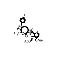 CCCO[C@H]1[C@H](C)OC(=O)[C@@H](NC(=O)c2nccc(OC)c2OCOC(C)=O)CCC[C@@H]1Oc1ccc(F)cc1